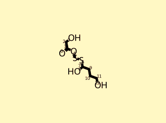 O=C(CO)OSSC(O)CCCO